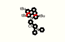 Cc1ccc(N(c2ccc(C(C)(C)C)cc2)c2ccccc2-c2cccc3cccc(-c4cc(C(C)(C)C)cc(C(C)(C)C)c4)c23)cc1-c1ccc2c(c1)c1ccccc1n2-c1ccccc1